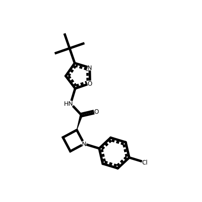 CC(C)(C)c1cc(NC(=O)[C@@H]2CCN2c2ccc(Cl)cc2)on1